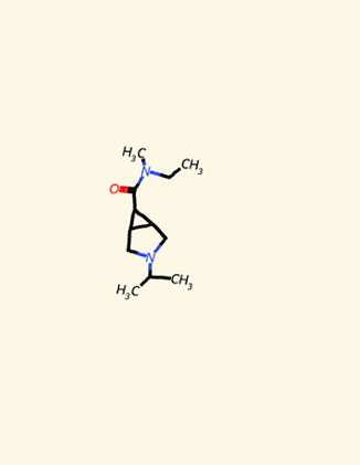 CCN(C)C(=O)C1C2CN(C(C)C)CC21